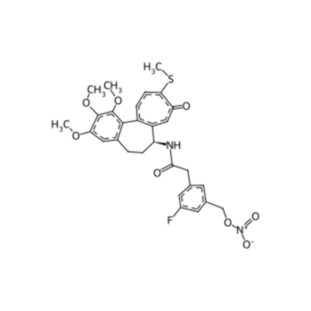 COc1cc2c(c(OC)c1OC)-c1ccc(SC)c(=O)cc1[C@@H](NC(=O)Cc1cc(F)cc(CO[N+](=O)[O-])c1)CC2